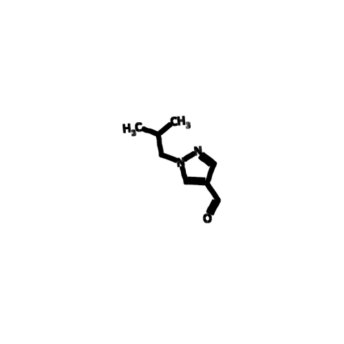 CC(C)Cn1cc(C=O)cn1